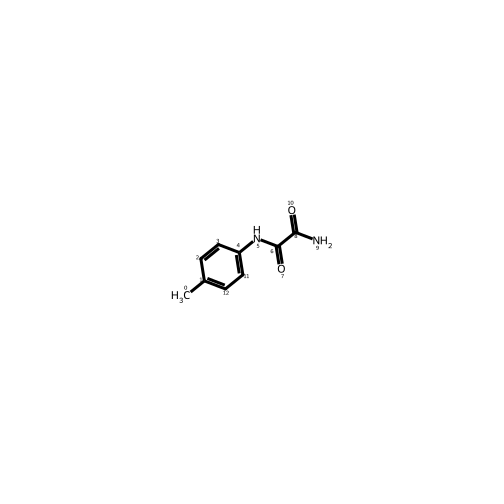 Cc1ccc(NC(=O)C(N)=O)cc1